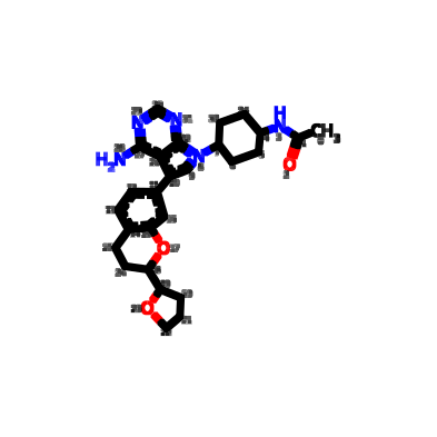 CC(=O)NC1CCC(n2cc(-c3ccc4c(c3)OC(C3CCCO3)CC4)c3c(N)ncnc32)CC1